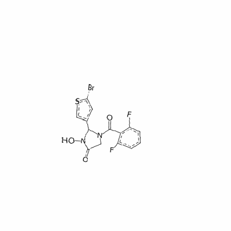 O=C1CN(C(=O)c2c(F)cccc2F)C(c2csc(Br)c2)N1O